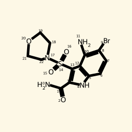 NC(=O)c1[nH]c2ccc(Br)c(N)c2c1S(=O)(=O)N1CCOCC1